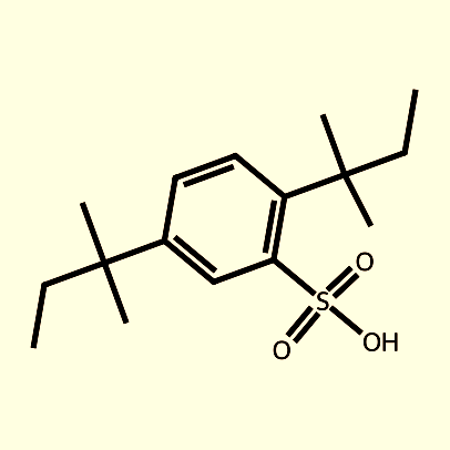 CCC(C)(C)c1ccc(C(C)(C)CC)c(S(=O)(=O)O)c1